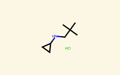 CC(C)(C)CNC1CC1.Cl